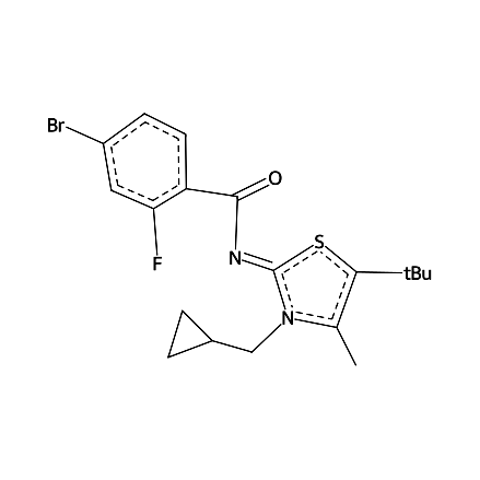 Cc1c(C(C)(C)C)s/c(=N\C(=O)c2ccc(Br)cc2F)n1CC1CC1